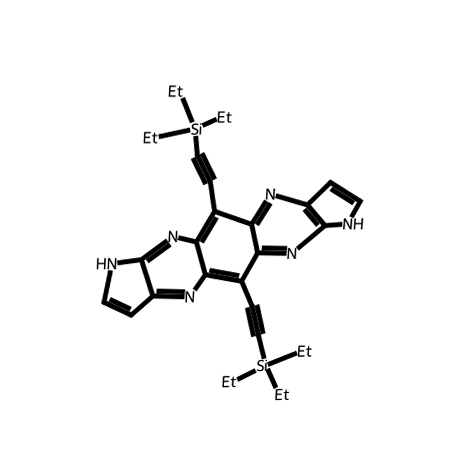 CC[Si](C#Cc1c2nc3cc[nH]c3nc2c(C#C[Si](CC)(CC)CC)c2nc3cc[nH]c3nc12)(CC)CC